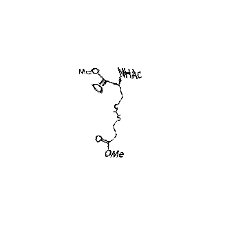 COC(=O)CCSSC[C@H](NC(C)=O)C(=O)OC